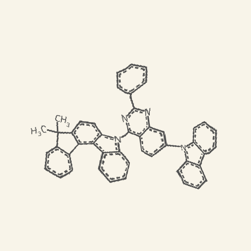 CC1(C)c2ccccc2-c2c1ccc1c2c2ccccc2n1-c1nc(-c2ccccc2)nc2cc(-n3c4ccccc4c4ccccc43)ccc12